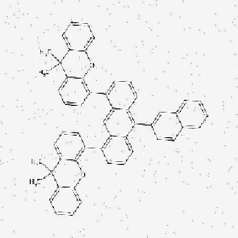 CC1(C)c2ccccc2Oc2c(-c3cccc4c(-c5ccc6ccccc6c5)c5cccc(-c6cccc7c6Oc6ccccc6C7(C)C)c5cc34)cccc21